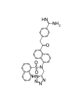 N=C(N)c1ccc(CC(=O)c2cccc3c(N(Cc4nnn[nH]4)S(=O)(=O)c4cccc5cccnc45)[c]ccc23)cc1